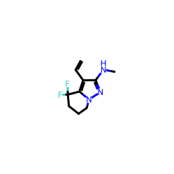 C=Cc1c(NC)nn2c1C(F)(F)CCC2